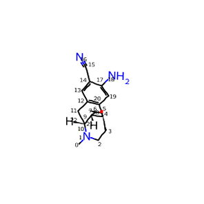 CN1CC[C@]23CCCC[C@H]2[C@H]1Cc1cc(C#N)c(N)cc13